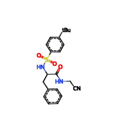 CC(C)(C)c1ccc(S(=O)(=O)NC(Cc2ccccc2)C(=O)NCC#N)cc1